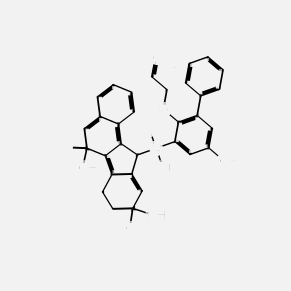 C=CCOc1c(-c2ccccc2)cc(C)cc1[Si](CC)(CC)C1C2=CC(C)(C)CCC2=C2C1=c1ccccc1=CC2(C)C